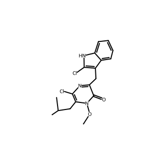 COn1c(CC(C)C)c(Cl)nc(Cc2c(Cl)[nH]c3ccccc23)c1=O